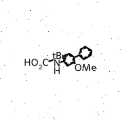 COc1cc(NC(C(=O)O)C(C)(C)C)ccc1-c1ccccc1